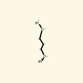 CC(C)OC[CH]COC(C)C